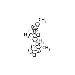 C/C(=N\NS(=O)(=O)c1ccc(C)cc1)c1ccc(OCc2c(-c3c(Cl)cccc3Cl)noc2C(C)C)cc1Cl